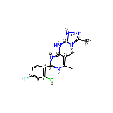 Cc1nc(-c2ccc(F)cc2Cl)nc(Nc2n[nH]c(C(C)C)n2)c1C